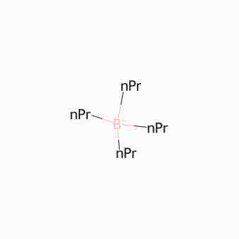 CCC[B-](CCC)(CCC)CCC